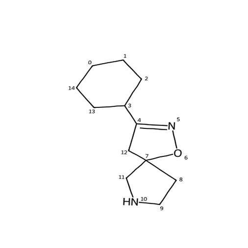 C1CCC(C2=NOC3(CCNC3)C2)CC1